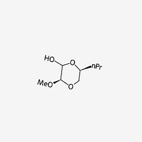 CCC[C@H]1CO[C@@H](OC)C(O)O1